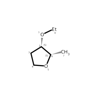 CCO[C@H]1CCO[C@H]1C